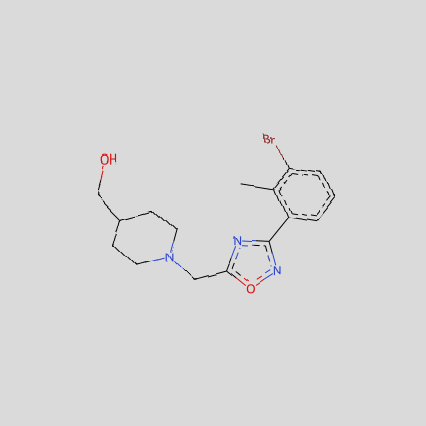 Cc1c(Br)cccc1-c1noc(CN2CCC(CO)CC2)n1